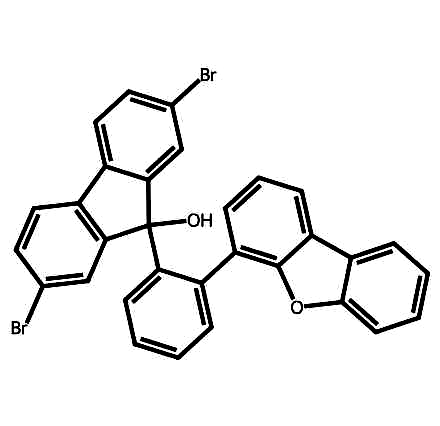 OC1(c2ccccc2-c2cccc3c2oc2ccccc23)c2cc(Br)ccc2-c2ccc(Br)cc21